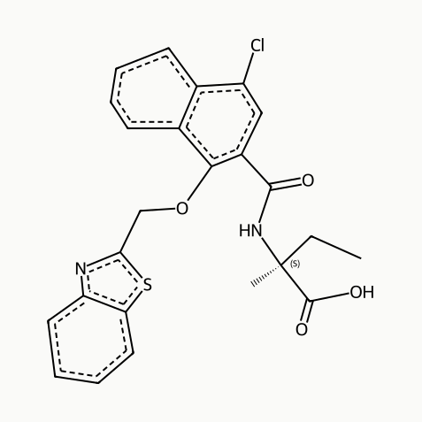 CC[C@](C)(NC(=O)c1cc(Cl)c2ccccc2c1OCc1nc2ccccc2s1)C(=O)O